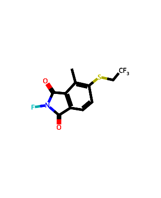 Cc1c(SCC(F)(F)F)ccc2c1C(=O)N(F)C2=O